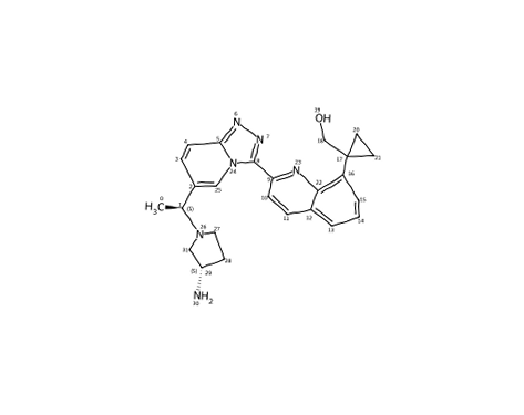 C[C@@H](c1ccc2nnc(-c3ccc4cccc(C5(CO)CC5)c4n3)n2c1)N1CC[C@H](N)C1